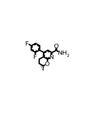 C[C@H]1CCc2c(-c3ccc(F)cc3F)cc(C(N)=O)nc2O1